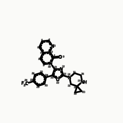 O=c1c2ncccc2ccn1-c1nc(N2CCNC3(CC3)C2)oc1-c1ccc(C(F)(F)F)cc1